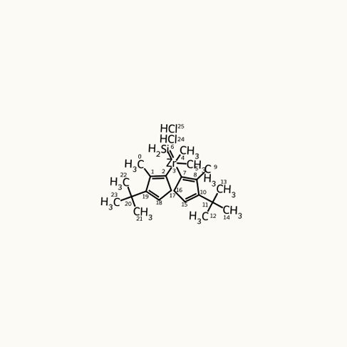 CC1=[C]([Zr]([CH3])([CH3])(=[SiH2])[C]2=C(C)C(C(C)(C)C)=CC2)CC=C1C(C)(C)C.Cl.Cl